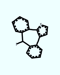 IC1c2ccccc2-c2ccsc2-c2ccccc21